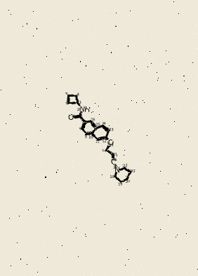 O=C(NC1CCC1)c1ccc2cc(OCCCN3CCCCC3)ccc2c1